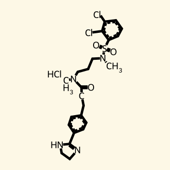 CN(CCCN(C)S(=O)(=O)c1cccc(Cl)c1Cl)C(=O)CCc1ccc(C2=NCCN2)cc1.Cl